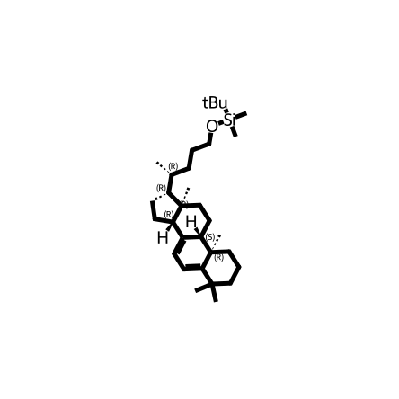 C[C@H](CCCO[Si](C)(C)C(C)(C)C)[C@H]1CC[C@H]2C3=CC=C4C(C)(C)CCC[C@]4(C)[C@H]3CC[C@]12C